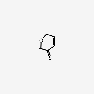 S=C1[CH]OCC=C1